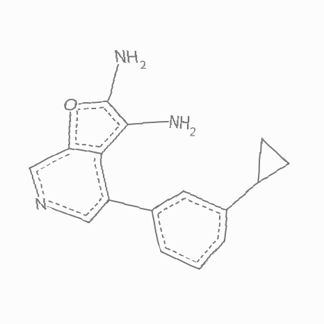 Nc1oc2cncc(-c3cccc(C4CC4)c3)c2c1N